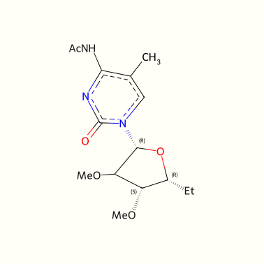 CC[C@H]1O[C@@H](n2cc(C)c(NC(C)=O)nc2=O)C(OC)[C@H]1OC